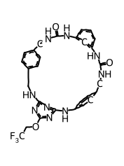 O=C1NCc2ccc(cc2)CNc2nc(nc(OCC(F)(F)F)n2)NC2=CCC(C=C2)CNC(=O)Nc2cccc(c2)N1